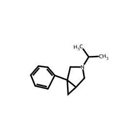 CC(C)N1CC2CC2(c2ccccc2)C1